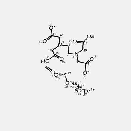 C=O.O=C([O-])CN(CCN(CC(=O)[O-])CC(=O)O)CC(=O)[O-].[Fe+2].[Na+].[Na+].[Na+].[O-]S[O-]